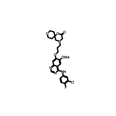 COc1cc2c(Nc3ccc(F)c(Cl)c3)ncnc2cc1OCCCN1CC(=O)OC2(CCOCC2)C1